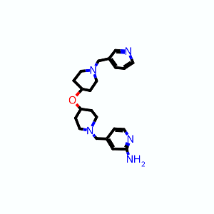 Nc1cc(CN2CCC(OC3CCN(Cc4cccnc4)CC3)CC2)ccn1